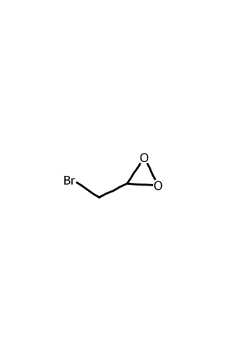 BrCC1OO1